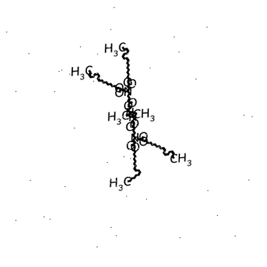 CC/C=C\C/C=C\C/C=C\CCCCCCCCOC(=O)CCN(CCCCC(=O)OCCN1CC(C)N(CCOC(=O)CCCCN(CCC(=O)OCCCCCCCC/C=C\C/C=C\C/C=C\CC)CCC(=O)OCCCCCCCC/C=C\C/C=C\CCCCC)CC1C)CCC(=O)OCCCCCCCC/C=C\C/C=C\C/C=C\CC